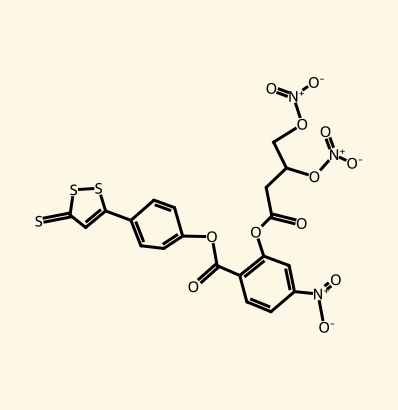 O=C(CC(CO[N+](=O)[O-])O[N+](=O)[O-])Oc1cc([N+](=O)[O-])ccc1C(=O)Oc1ccc(-c2cc(=S)ss2)cc1